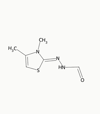 Cc1csc(=NNC=O)n1C